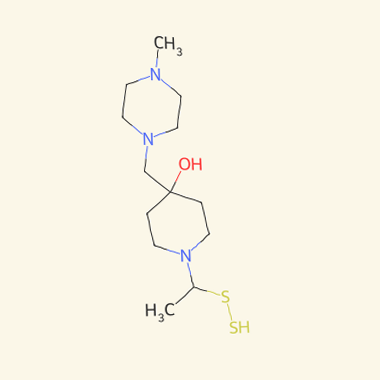 CC(SS)N1CCC(O)(CN2CCN(C)CC2)CC1